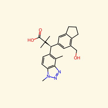 Cc1c([C@H](c2cc(CO)c3c(c2)CCC3)C(C)(C)C(=O)O)ccc2c1nnn2C